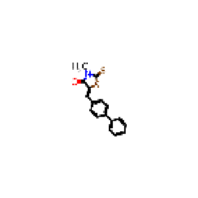 CN1C(=O)C(=Cc2ccc(-c3ccccc3)cc2)SC1=S